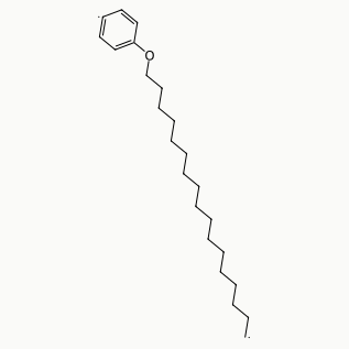 [CH2]CCCCCCCCCCCCCCCCOc1cc[c]cc1